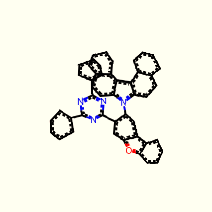 c1ccc(-c2nc(-c3ccccc3)nc(-c3cc4oc5ccccc5c4cc3-n3c4ccc5ccccc5c4c4c5ccccc5ccc43)n2)cc1